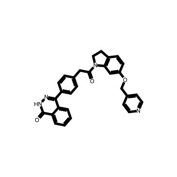 O=C(Cc1ccc(-c2n[nH]c(=O)c3ccccc23)cc1)N1CCc2ccc(OCc3ccncc3)cc21